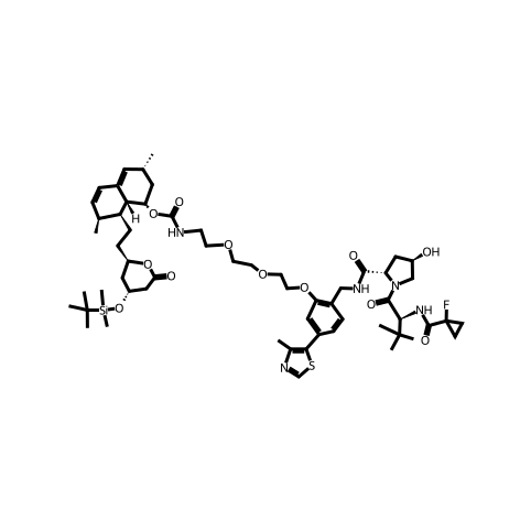 Cc1ncsc1-c1ccc(CNC(=O)[C@@H]2C[C@@H](O)CN2C(=O)[C@@H](NC(=O)C2(F)CC2)C(C)(C)C)c(OCCOCCOCCNC(=O)O[C@H]2C[C@@H](C)C=C3C=C[C@H](C)[C@H](CC[C@@H]4C[C@@H](O[Si](C)(C)C(C)(C)C)CC(=O)O4)[C@H]32)c1